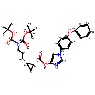 CC(C)(C)OC(=O)N(CCC[C@H]1C[C@H]1C(=O)Oc1cn(-c2ccc(Oc3ccccc3)cc2)cn1)C(=O)OC(C)(C)C